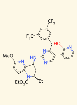 CCOC(=O)N1c2ccc(OC)nc2[C@@H](Nc2ncc(-c3cccnc3O)c(Cc3cc(C(F)(F)F)cc(C(F)(F)F)c3)n2)C[C@H]1CC